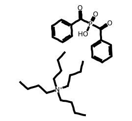 CCCC[N+](CCCC)(CCCC)CCCC.O=C(c1ccccc1)P(=O)(O)C(=O)c1ccccc1